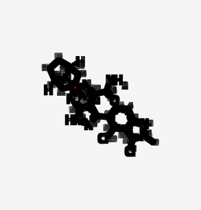 Cn1nc2ccc(-c3n[nH]c4nc(N5[C@@H]6CC[C@H]5CC(N)C6)nc(C(N)=O)c34)c(Cl)c2c1Cl